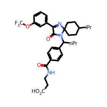 CCCC(c1ccc(C(=O)NCCC(=O)O)cc1)N1C(=O)C(c2cccc(OC(F)(F)F)c2)=NC12CCC(C(C)C)CC2